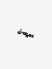 Cc1cccnc1N/N=C/c1ccc2c(ccc3c(-c4ccc(OC(F)(F)F)cc4)n(C)nc32)c1